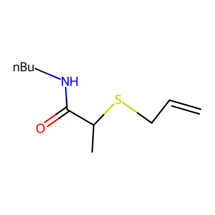 C=CCSC(C)C(=O)NCCCC